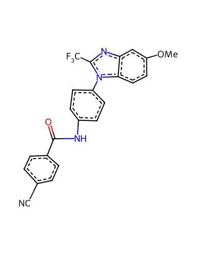 COc1ccc2c(c1)nc(C(F)(F)F)n2-c1ccc(NC(=O)c2ccc(C#N)cc2)cc1